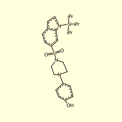 CC(C)[Si](C(C)C)(C(C)C)n1ccc2ccc(S(=O)(=O)N3CCN(c4ccc(O)cc4)CC3)cc21